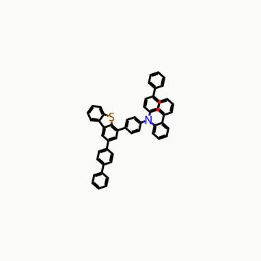 c1ccc(-c2ccc(-c3cc(-c4ccc(N(c5ccc(-c6ccccc6)cc5)c5ccccc5-c5ccccc5)cc4)c4sc5ccccc5c4c3)cc2)cc1